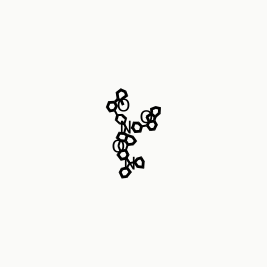 C1=CC(N(c2ccc(-c3cccc4c3oc3ccccc34)cc2)c2ccc3c4c(cccc24)-c2cc(N(c4ccccc4)c4ccccc4)ccc2O3)CC=C1c1cccc2c1oc1ccccc12